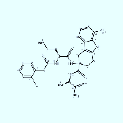 CC[C@H](C)C(NC(=O)[C@@]1(NC(=O)[C@H](CCSC)NC(=O)Cc2ccccc2F)CCc2[nH]c3c(C(F)(F)F)cccc3c2C1)C(N)=S